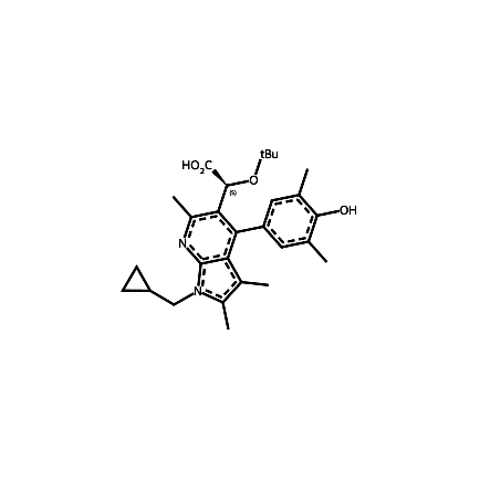 Cc1cc(-c2c([C@H](OC(C)(C)C)C(=O)O)c(C)nc3c2c(C)c(C)n3CC2CC2)cc(C)c1O